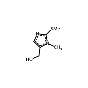 CSc1ncc(CO)n1C